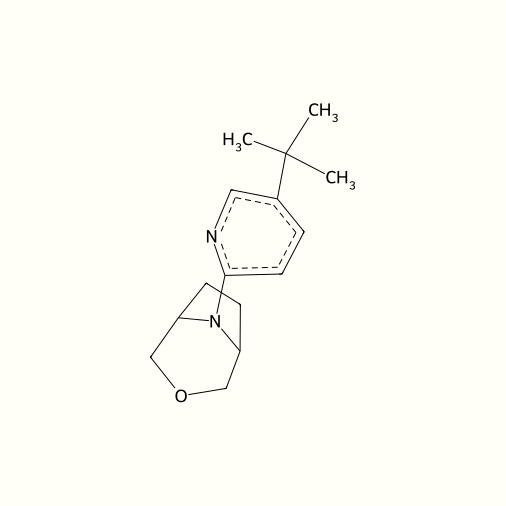 CC(C)(C)c1ccc(N2C3CCC2COC3)nc1